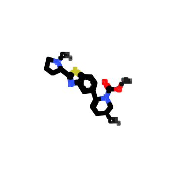 C[C@H]1CC=C(c2ccc3sc(C4CCCN4C)nc3c2)N(C(=O)OC(C)(C)C)C1